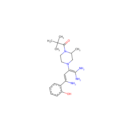 CC1CN(C(/C=C(\N)c2ccccc2O)=C(N)N)CCN1C(=O)C(C)(C)C